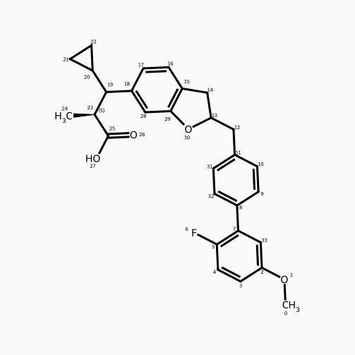 COc1ccc(F)c(-c2ccc(CC3Cc4ccc(C(C5CC5)[C@H](C)C(=O)O)cc4O3)cc2)c1